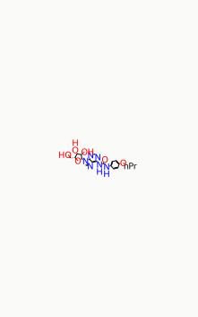 CCCOc1ccc(NC(=O)Nc2ncnc3c2ncn3[C@@H]2O[C@H](CO)[C@@H](O)[C@H]2O)cc1